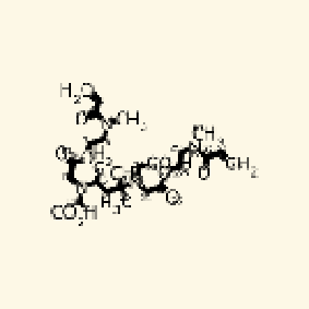 C=CC(=O)N(C)CCOC(=O)CN(CC(=O)O)C(C)CC(C)(C)N(CC(=O)O)CC(=O)OCCN(C)C(=O)C=C